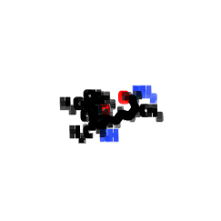 C=CC(=N)C(C/C=C/[C@@H](C)C(N)=O)O[Si](C)(C)C(C)(C)C